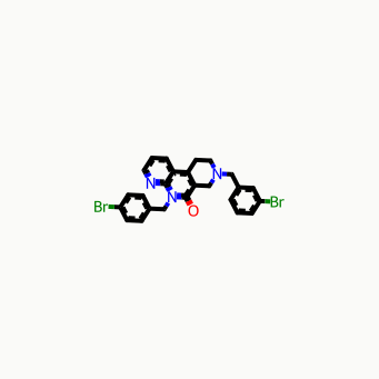 O=c1c2c(c3cccnc3n1Cc1ccc(Br)cc1)CCN(Cc1cccc(Br)c1)C2